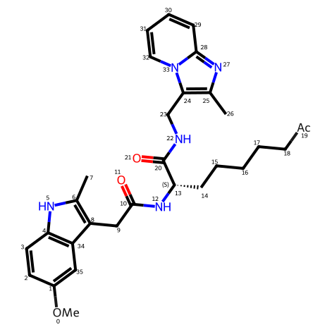 COc1ccc2[nH]c(C)c(CC(=O)N[C@@H](CCCCCC(C)=O)C(=O)NCc3c(C)nc4ccccn34)c2c1